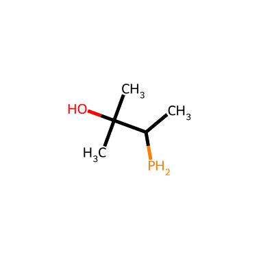 CC(P)C(C)(C)O